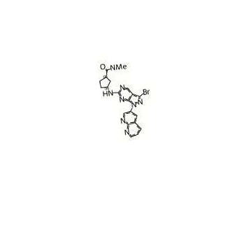 CNC(=O)[C@@H]1CC[C@@H](Nc2ncc3c(Br)nn(-c4cnc5ncccc5c4)c3n2)C1